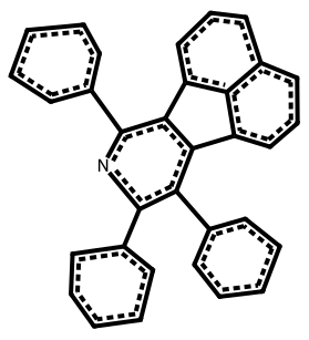 c1ccc(-c2nc(-c3ccccc3)c3c(c2-c2ccccc2)-c2cccc4cccc-3c24)cc1